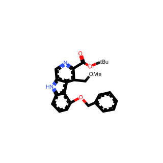 COCc1c(C(=O)OC(C)(C)C)ncc2[nH]c3cccc(OCc4ccccc4)c3c12